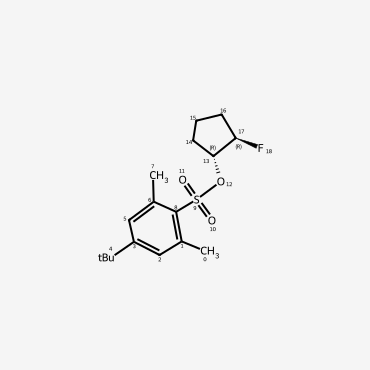 Cc1cc(C(C)(C)C)cc(C)c1S(=O)(=O)O[C@@H]1CCC[C@H]1F